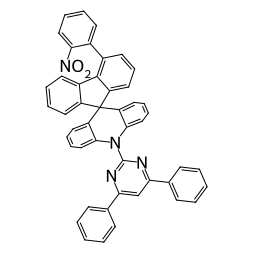 O=[N+]([O-])c1ccccc1-c1cccc2c1-c1ccccc1C21c2ccccc2N(c2nc(-c3ccccc3)cc(-c3ccccc3)n2)c2ccccc21